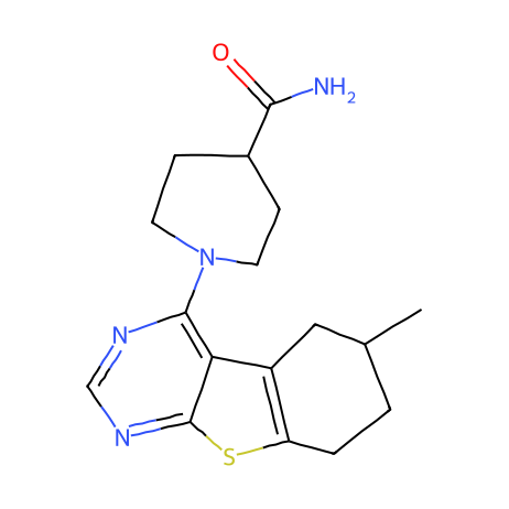 CC1CCc2sc3ncnc(N4CCC(C(N)=O)CC4)c3c2C1